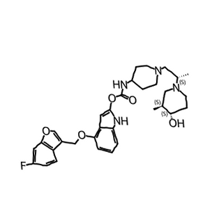 C[C@H]1CN([C@@H](C)CN2CCC(NC(=O)Oc3cc4c(OCc5coc6cc(F)ccc56)cccc4[nH]3)CC2)CC[C@@H]1O